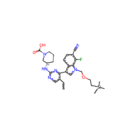 C=Cc1cnc(N[C@H]2CCCN(C(=O)O)C2)nc1-c1cn(COCC[Si](C)(C)C)c2c(F)c(C#N)ccc12